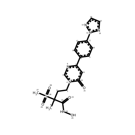 CC(CCn1cnc(-c2ccc(-n3nccn3)cc2)cc1=O)(C(=O)NO)S(C)(=O)=O